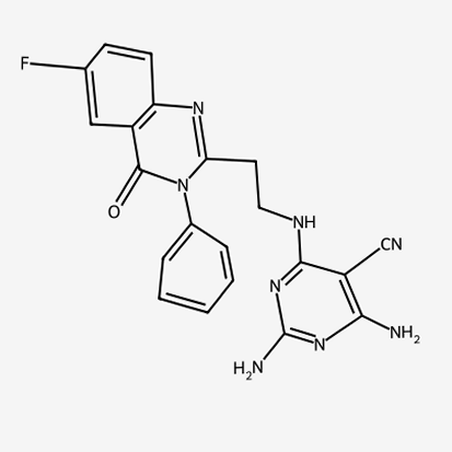 N#Cc1c(N)nc(N)nc1NCCc1nc2ccc(F)cc2c(=O)n1-c1ccccc1